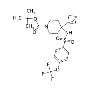 CC(C)(C)OC(=O)N1CCC(NS(=O)(=O)c2ccc(OC(F)(F)F)cc2)(C23CC(C2)C3)CC1